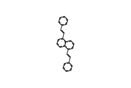 C(=C\c1cccc2c(/C=C/c3ccccc3)cccc12)/c1ccccc1